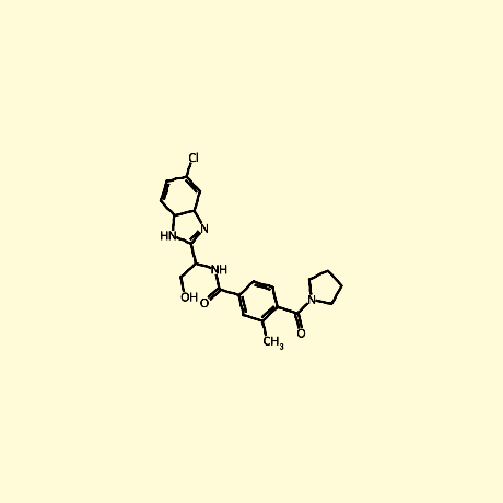 Cc1cc(C(=O)NC(CO)C2=NC3C=C(Cl)C=CC3N2)ccc1C(=O)N1CCCC1